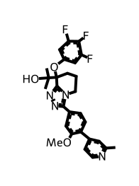 COc1cc(-c2nnc3n2CCCC3(Oc2cc(F)c(F)c(F)c2)C(C)(C)O)ccc1-c1ccnc(C)c1